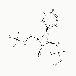 COC(C)(C)O[C@H]1C(=O)N(COC(C)(C)C)[C@H]1c1ccccc1